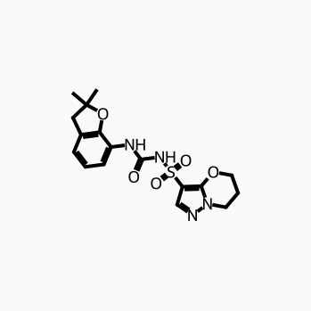 CC1(C)Cc2cccc(NC(=O)NS(=O)(=O)c3cnn4c3OCCC4)c2O1